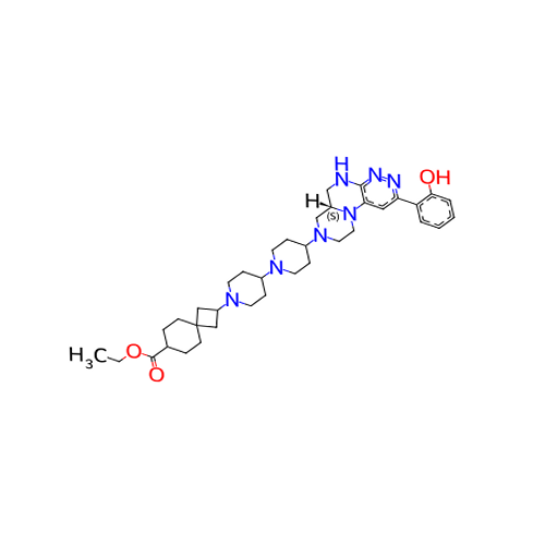 CCOC(=O)C1CCC2(CC1)CC(N1CCC(N3CCC(N4CCN5c6cc(-c7ccccc7O)nnc6NC[C@H]5C4)CC3)CC1)C2